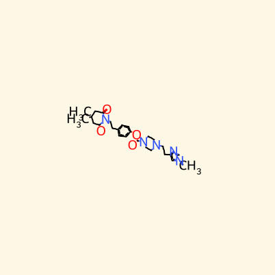 Cn1cnc(CCN2CCN(C(=O)Oc3ccc(CCN4C(=O)CC(C)(C)CC4=O)cc3)CC2)c1